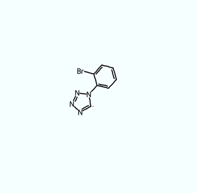 Brc1ccccc1-n1[c]nnn1